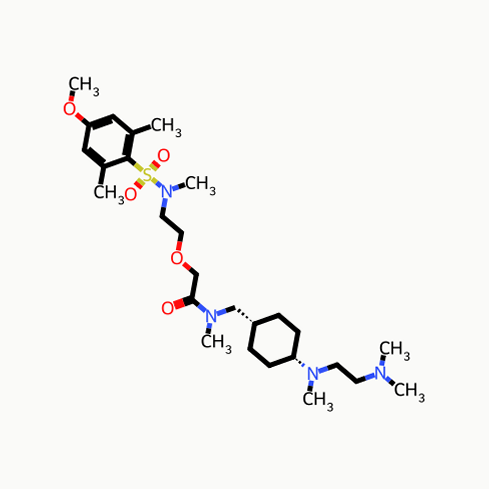 COc1cc(C)c(S(=O)(=O)N(C)CCOCC(=O)N(C)C[C@H]2CC[C@@H](N(C)CCN(C)C)CC2)c(C)c1